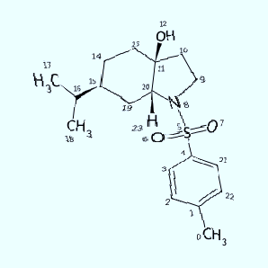 Cc1ccc(S(=O)(=O)N2CC[C@@]3(O)CC[C@H](C(C)C)C[C@@H]23)cc1